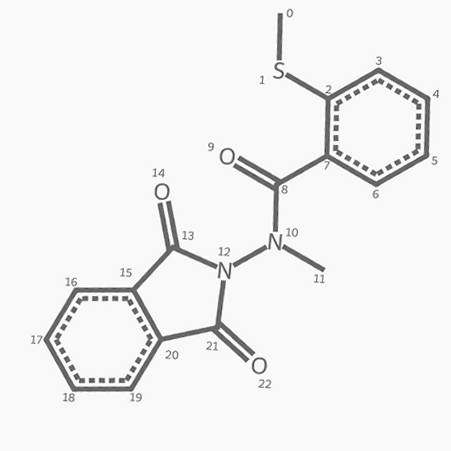 CSc1ccccc1C(=O)N(C)N1C(=O)c2ccccc2C1=O